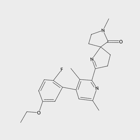 CCOc1ccc(F)c(-c2cc(C)nc(C3=NC4(CC3)CCN(C)C4=O)c2C)c1